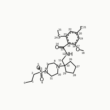 CCCS(=O)(=O)N1CCN(C2(CNC(=O)c3c(OC)cc(F)cc3SC)CCCC2)CC1